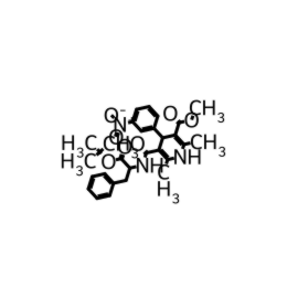 COC(=O)C1=C(C)NC(C)=C(C(=O)NC(Cc2ccccc2)C(=O)OC(C)(C)C)C1c1cccc([N+](=O)[O-])c1